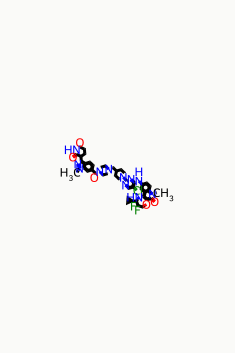 Cn1nc(C2CCC(=O)NC2=O)c2ccc(C(=O)N3CCN(CC4CCN(c5ncc(Cl)c(Nc6ccc7c(c6)c6c(c(=O)n7C)OCC(F)(F)C(C7CC7)N6)n5)CC4)CC3)cc21